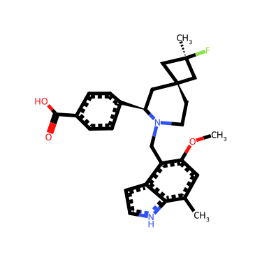 COc1cc(C)c2[nH]ccc2c1CN1CC[C@]2(C[C@@H]1c1ccc(C(=O)O)cc1)C[C@](C)(F)C2